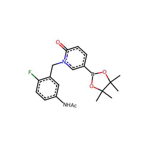 CC(=O)Nc1ccc(F)c(Cn2cc(B3OC(C)(C)C(C)(C)O3)ccc2=O)c1